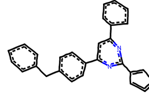 C1=CC=C(c2nc(-c3ccccc3)cc(-c3ccc(Cc4ccccc4)cc3)n2)C=1